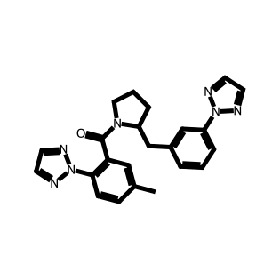 Cc1ccc(-n2nccn2)c(C(=O)N2CCCC2Cc2cccc(-n3nccn3)c2)c1